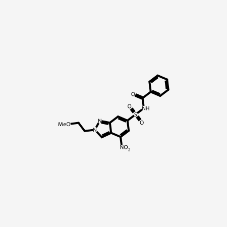 COCCn1cc2c([N+](=O)[O-])cc(S(=O)(=O)NC(=O)c3ccccc3)cc2n1